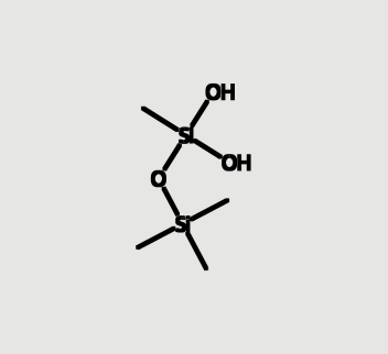 C[Si](C)(C)O[Si](C)(O)O